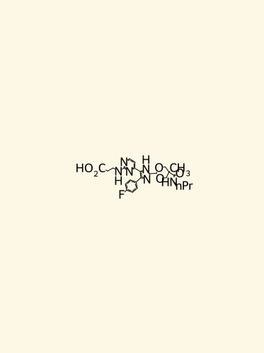 CCCNC(=O)C1(C)COC(c2nc(-c3ccc(F)cc3)c(-c3ccnc(NCCC(=O)O)n3)[nH]2)OC1